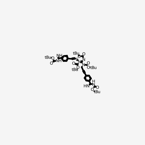 CC(C)(C)OC(=O)N=C(N(CC#Cc1ccc(C(=N)NC(=O)OC(C)(C)C)cc1)C(=O)OC(C)(C)C)N(CC#Cc1ccc(C(=N)NC(=O)OC(C)(C)C)cc1)C(=O)OC(C)(C)C